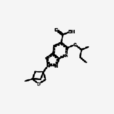 CCC(C)Oc1nc2nn(C34COC(C)(C3)C4)cc2cc1C(=O)O